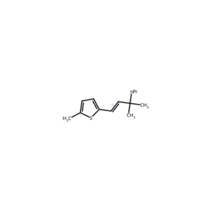 CCCC(C)(C)/C=C/c1ccc(C)s1